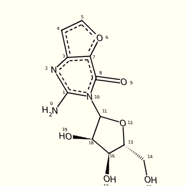 Nc1nc2ccoc2c(=O)n1C1O[C@H](CO)[C@@H](O)[C@H]1O